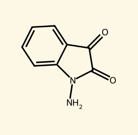 NN1C(=O)C(=O)c2ccccc21